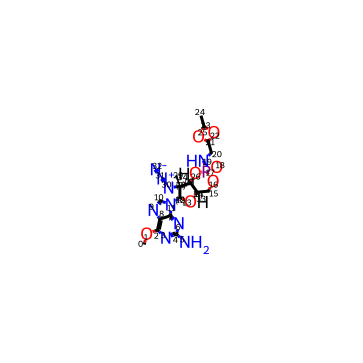 COc1nc(N)nc2c1ncn2[C@@H]1O[C@@H]2COP(=O)(NCC3OC(C)O3)O[C@H]2[C@@]1(C)N=[N+]=[N-]